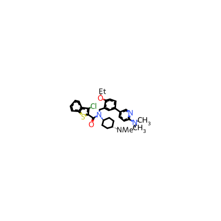 CCOc1ccc(-c2ccc(N(C)C)nc2)cc1CN(C(=O)c1sc2ccccc2c1Cl)[C@H]1CC[C@H](NC)CC1